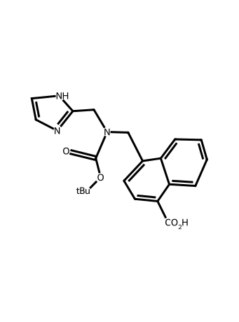 CC(C)(C)OC(=O)N(Cc1ncc[nH]1)Cc1ccc(C(=O)O)c2ccccc12